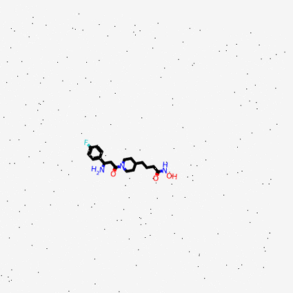 NC(CC(=O)N1CCC(CCCC(=O)NO)CC1)c1ccc(F)cc1